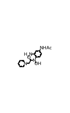 CC(=O)Nc1ccc(N(O)C(=O)C[n+]2ccccc2)c(N)c1